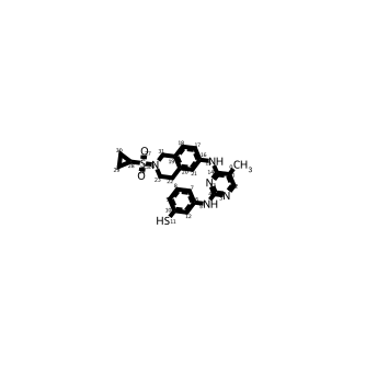 Cc1cnc(Nc2cccc(S)c2)nc1Nc1ccc2c(c1)CCN(S(=O)(=O)C1CC1)C2